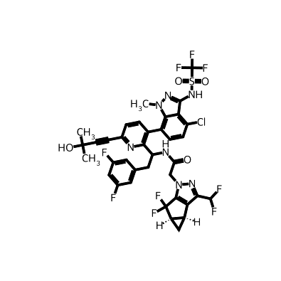 Cn1nc(NS(=O)(=O)C(F)(F)F)c2c(Cl)ccc(-c3ccc(C#CC(C)(C)O)nc3C(Cc3cc(F)cc(F)c3)NC(=O)Cn3nc(C(F)F)c4c3C(F)(F)[C@@H]3C[C@H]43)c21